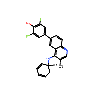 CCC1(Nc2c(C#N)cnc3ccc(-c4cc(F)c(O)c(F)c4)cc23)C=CC=CC1